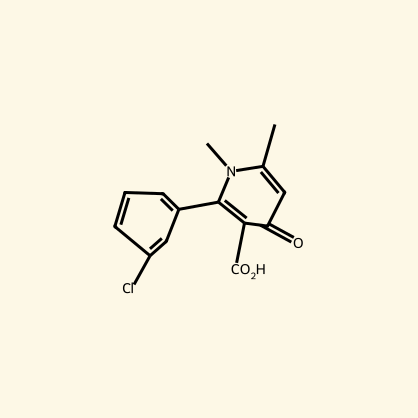 Cc1cc(=O)c(C(=O)O)c(-c2cccc(Cl)c2)n1C